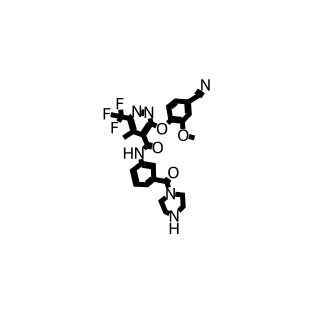 COc1cc(C#N)ccc1Oc1nnc(C(F)(F)F)c(C)c1C(=O)Nc1cccc(C(=O)N2CCNCC2)c1